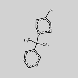 CC(C)c1cc[n+](C(C)(C)c2cccnc2)cc1